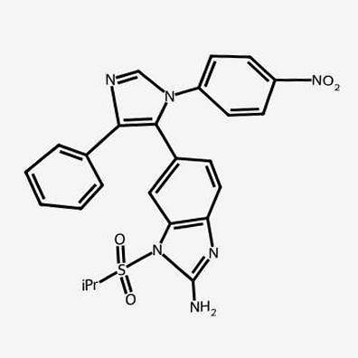 CC(C)S(=O)(=O)n1c(N)nc2ccc(-c3c(-c4ccccc4)ncn3-c3ccc([N+](=O)[O-])cc3)cc21